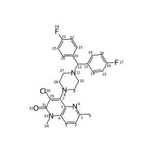 Cc1ccc2c(n1)c(N1CCN(C(c3ccc(F)cc3)c3ccc(F)cc3)CC1)c(Cl)c(=O)n2C